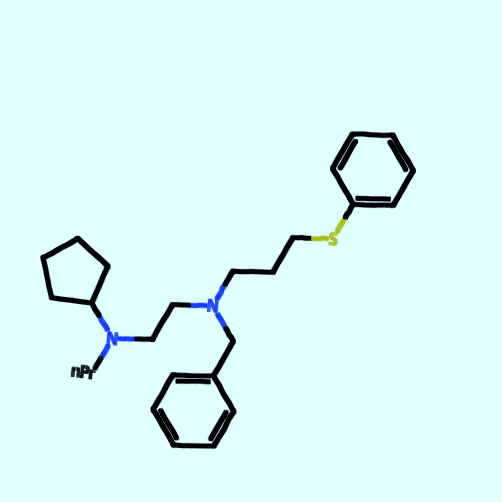 CCCN(CCN(CCCSc1ccccc1)Cc1ccccc1)C1CCCC1